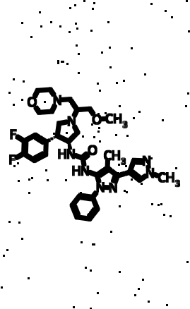 COCC(CN1CCOCC1)N1C[C@@H](NC(=O)Nc2c(C)c(-c3cnn(C)c3)nn2-c2ccccc2)[C@H](c2ccc(F)c(F)c2)C1